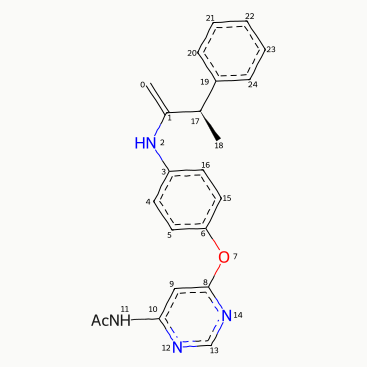 C=C(Nc1ccc(Oc2cc(NC(C)=O)ncn2)cc1)[C@H](C)c1ccccc1